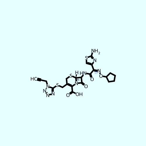 C#CCn1nnnc1SCC1=C(C(=O)O)N2C(=O)C(NC(=O)/C(=N\OC3CCCC3)c3csc(N)n3)[C@H]2SC1